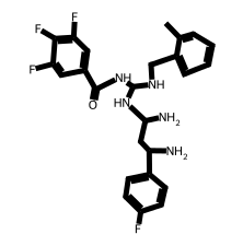 Cc1ccccc1CNC(NC(=O)c1cc(F)c(F)c(F)c1)NC(N)CC(N)c1ccc(F)cc1